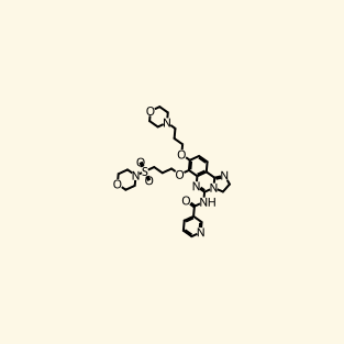 O=C(NC1=Nc2c(ccc(OCCCN3CCOCC3)c2OCCCS(=O)(=O)N2CCOCC2)C2=NCCN12)c1cccnc1